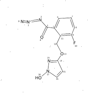 [N-]=[N+]=NC(=O)c1cccc(F)c1COc1ccn(O)n1